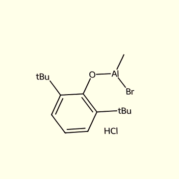 Cl.[CH3][Al]([Br])[O]c1c(C(C)(C)C)cccc1C(C)(C)C